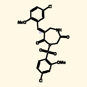 COc1ccc(Cl)cc1/C=C1\CNC(=O)CN(S(=O)(=O)c2ccc(Cl)cc2OC)C1=O